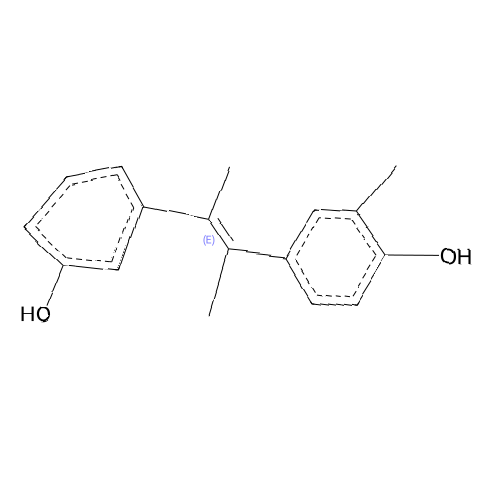 C/C(=C(/C)c1ccc(O)c(C)c1)c1cccc(O)c1